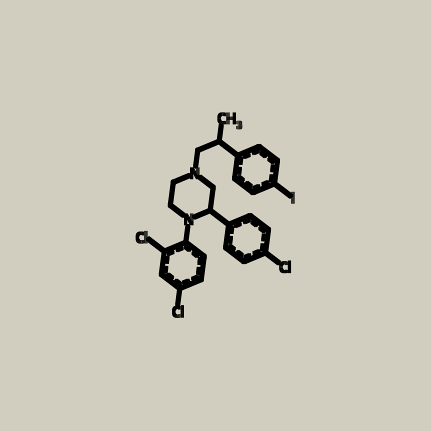 CC(CN1CCN(c2ccc(Cl)cc2Cl)C(c2ccc(Cl)cc2)C1)c1ccc(I)cc1